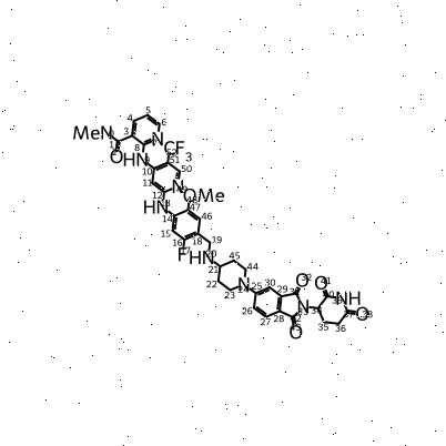 CNC(=O)c1cccnc1Nc1cc(Nc2cc(F)c(CNC3CCN(c4ccc5c(c4)C(=O)N(C4CCC(=O)NC4=O)C5=O)CC3)cc2OC)ncc1C(F)(F)F